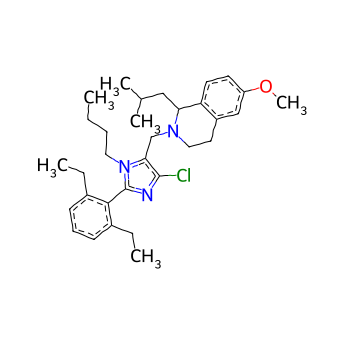 CCCCn1c(-c2c(CC)cccc2CC)nc(Cl)c1CN1CCc2cc(OC)ccc2C1CC(C)C